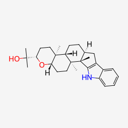 CC(C)(O)[C@@H]1CC[C@]2(C)[C@H](CC[C@@]3(C)[C@H]2CC[C@H]2Cc4c([nH]c5ccccc45)[C@@]23C)O1